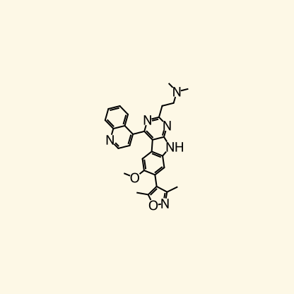 COc1cc2c(cc1-c1c(C)noc1C)[nH]c1nc(CCN(C)C)nc(-c3ccnc4ccccc34)c12